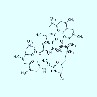 CC(=O)[C@H](CCCCNC(=N)N)NC(=O)[C@H](C)NC(=O)CN(C)C(=O)CN(C)C(=O)CN(C)C(=O)CN(C)C(=O)CN(C)C(=O)CN(C)C(=O)CN(C)C(=O)CN(C)C(=O)CN(C)C(=O)CN(C)C(=O)CCN